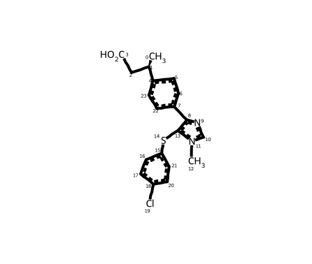 C[C@H](CC(=O)O)c1ccc(-c2ncn(C)c2Sc2ccc(Cl)cc2)cc1